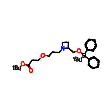 CC(C)(C)OC(=O)CCOCCCN1CC[C@H]1CO[Si](c1ccccc1)(c1ccccc1)C(C)(C)C